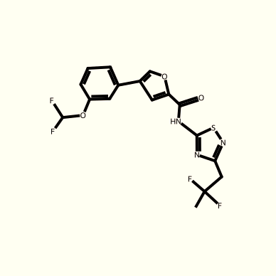 CC(F)(F)Cc1nsc(NC(=O)c2cc(-c3cccc(OC(F)F)c3)co2)n1